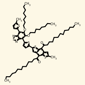 CCCCCCCCCCCCC(=O)c1c2cc(-c3ccc(-c4c(OCCCCCCCC)c(OCCCCCCCC)c(-c5ccc(C)s5)c5nsnc45)s3)sc2c(C(=O)CCCCCCCCCCCC)c2cc(C)sc12